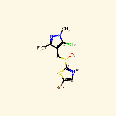 Cn1nc(C(F)(F)F)c(C[S+]([O-])c2ncc(Br)s2)c1Cl